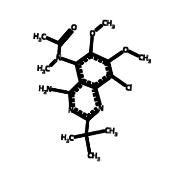 COc1c(OC)c(N(C)C(C)=O)c2c(N)nc(C(C)(C)C)nc2c1Cl